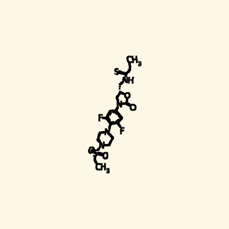 CCC(=S)NC[C@H]1CN(c2cc(F)c(N3CCN(S(=O)(=O)CC)CC3)c(F)c2)C(=O)O1